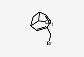 CC1C2C=CC(CBr)=CC1C2